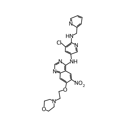 O=[N+]([O-])c1cc2c(Nc3cnc(NCc4ccccn4)c(Cl)c3)ncnc2cc1OCCN1CCOCC1